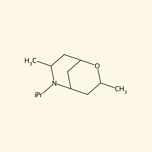 CC1CC2CC(CC(C)N2C(C)C)O1